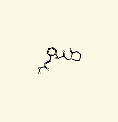 O=C(/C=C/c1ccccc1NC(=O)CN1CCCCC1=O)NO